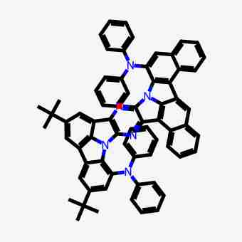 CC(C)(C)c1cc(N(c2ccccc2)c2ccccc2)c2c(c1)c1cc(C(C)(C)C)cc3c4nc5c(nc4n2c13)c1c2ccccc2cc2c3c4ccccc4cc(N(c4ccccc4)c4ccccc4)c3n5c21